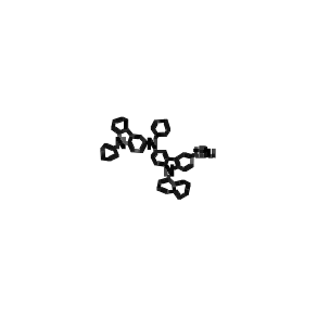 CC(C)(C)c1ccc2c(c1)c1cc(N(c3ccccc3)c3ccc4c(c3)c3ccccc3n4-c3ccccc3)ccc1n2-c1cccc2ccccc12